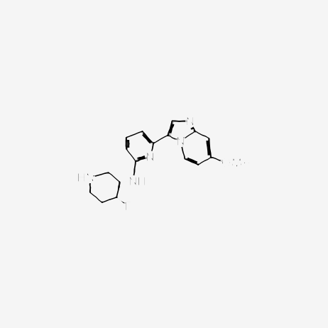 COc1ccn2c(-c3cccc(N[C@H]4CNCC[C@@H]4F)n3)cnc2c1